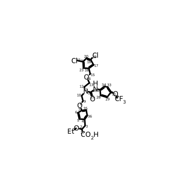 CCOC(Cc1ccc(OCCN(CCOCc2cc(Cl)cc(Cl)c2)C(=O)Nc2ccc(OC(F)(F)F)cc2)cc1)C(=O)O